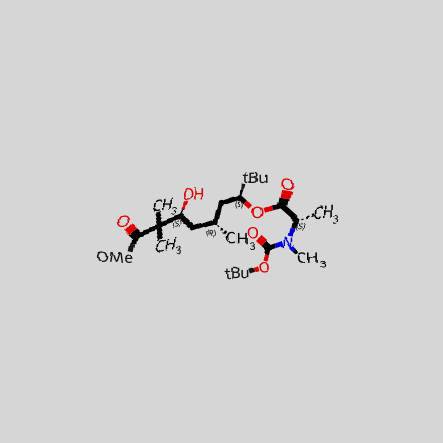 COC(=O)C(C)(C)[C@@H](O)C[C@@H](C)C[C@H](OC(=O)[C@H](C)N(C)C(=O)OC(C)(C)C)C(C)(C)C